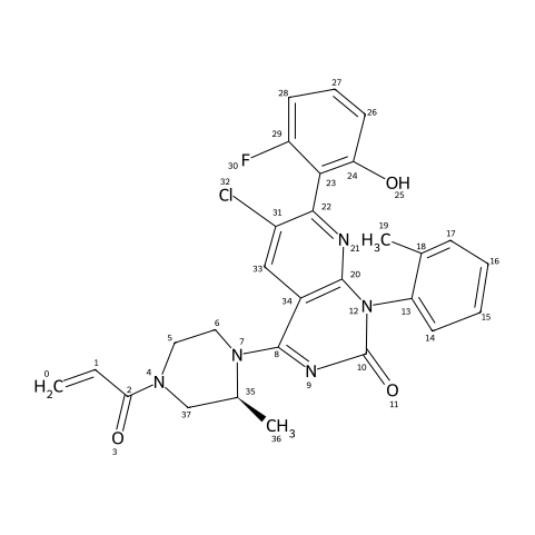 C=CC(=O)N1CCN(c2nc(=O)n(-c3ccccc3C)c3nc(-c4c(O)cccc4F)c(Cl)cc23)[C@@H](C)C1